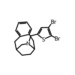 Brc1cc(CN2CC3CCC2Cc2ccccc2C3)sc1Br